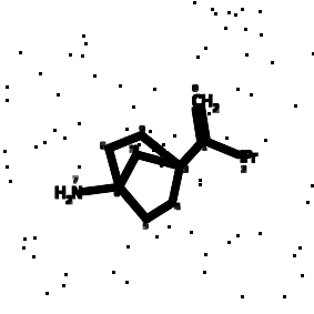 C=C(C(C)C)C12CCC(N)(CC1)C2